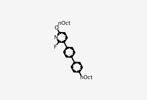 CCCCCCCCOc1ccc(-c2ccc(-c3ccc(CCCCCCCC)cc3)cc2)c(F)n1